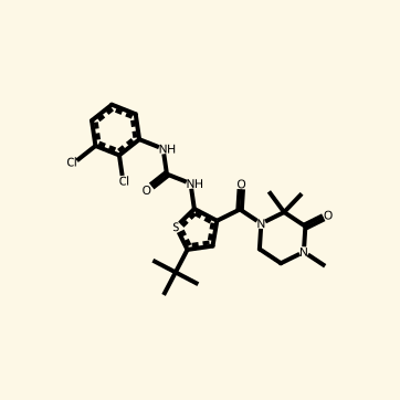 CN1CCN(C(=O)c2cc(C(C)(C)C)sc2NC(=O)Nc2cccc(Cl)c2Cl)C(C)(C)C1=O